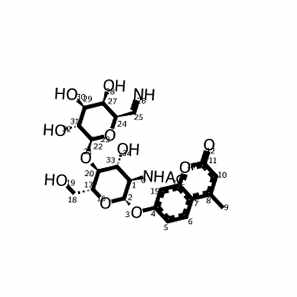 CC(=O)N[C@H]1[C@H](Oc2ccc3c(C)cc(=O)oc3c2)O[C@H](CO)[C@@H](O[C@@H]2O[C@H](C=N)[C@H](O)[C@H](O)[C@H]2O)[C@@H]1O